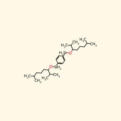 CC(C)CCCC(O[SiH2]c1ccc([SiH2]OC(CCCC(C)C)C(C)C)cc1)C(C)C